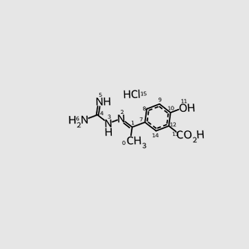 C/C(=N\NC(=N)N)c1ccc(O)c(C(=O)O)c1.Cl